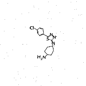 Cn1nc(-c2ccc(Cl)cc2)sc1=NC1CCC(N)CC1